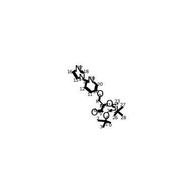 CC(C)(C)OC(=O)[C@@H](COc1ccc(-n2ccnc2)nc1)O[Si](C)(C)C(C)(C)C